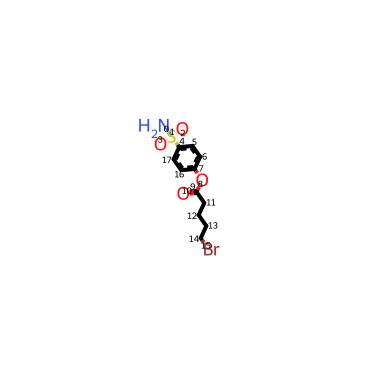 NS(=O)(=O)c1ccc(OC(=O)CCCCBr)cc1